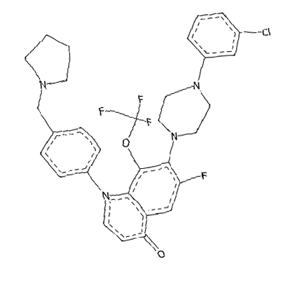 O=c1ccn(-c2ccc(CN3CCCC3)cc2)c2c(OC(F)(F)F)c(N3CCN(c4cccc(Cl)c4)CC3)c(F)cc12